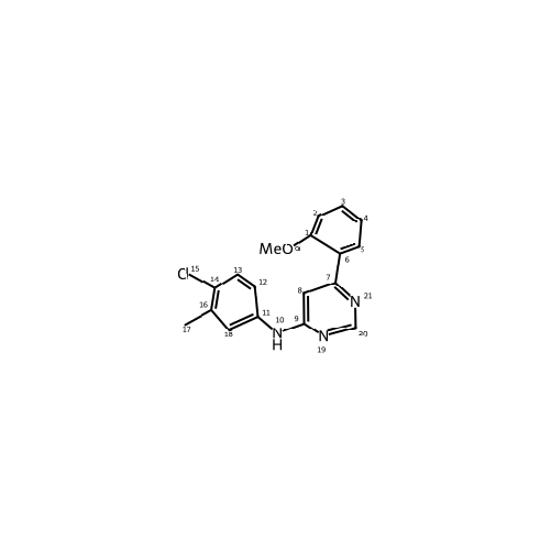 COc1ccccc1-c1cc(Nc2ccc(Cl)c(C)c2)ncn1